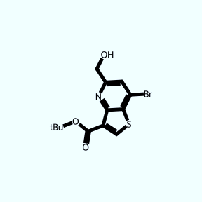 CC(C)(C)OC(=O)c1csc2c(Br)cc(CO)nc12